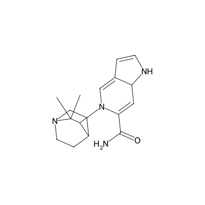 CC1(C)C(N2C=C3C=CNC3C=C2C(N)=O)C2CCN1CC2